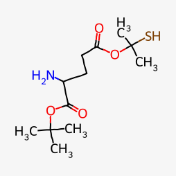 CC(C)(C)OC(=O)C(N)CCC(=O)OC(C)(C)S